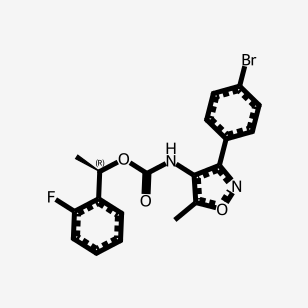 Cc1onc(-c2ccc(Br)cc2)c1NC(=O)O[C@H](C)c1ccccc1F